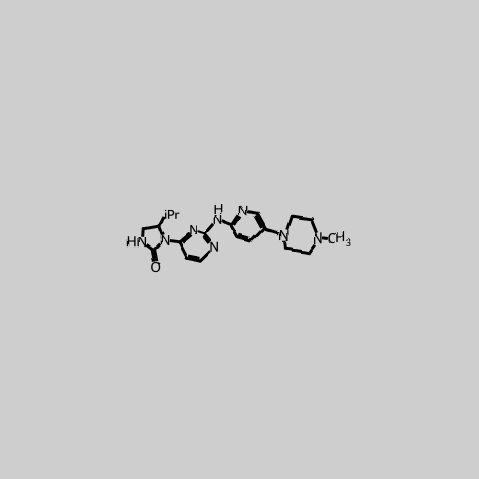 CC(C)C1CNC(=O)N1c1ccnc(Nc2ccc(N3CCN(C)CC3)cn2)n1